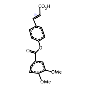 COc1ccc(C(=O)Oc2ccc(/C=C/C(=O)O)cc2)cc1OC